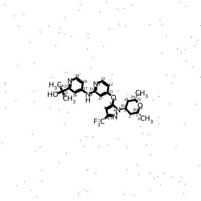 C[C@@H]1C[C@@H](n2nc(C(F)(F)F)cc2Oc2ccnc(Nc3ccnc(C(C)(C)O)c3)c2)C[C@H](C)O1